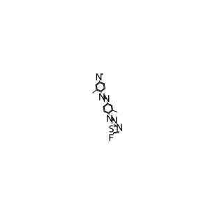 C=Nc1ccc(/N=N/c2ccc(/N=N/c3ncc(F)s3)c(C)c2)c(C)c1